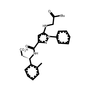 Cc1ccccc1[C@H](CC(=O)O)NC(=O)c1cc(NCC(=O)C(C)(C)C)n(-c2ccccc2)n1